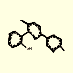 Cc1ccc(-c2ccc(C)c(-c3ccccc3S)c2)cc1